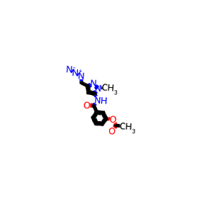 CC(=O)Oc1cccc(C(=O)Nc2cc(CN=[N+]=[N-])nn2C)c1